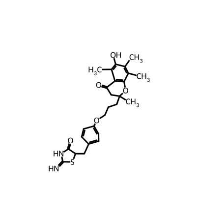 Cc1c(C)c2c(c(C)c1O)C(=O)CC(C)(CCCOc1ccc(CC3SC(=N)NC3=O)cc1)O2